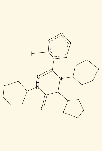 O=C(NC1CCCCC1)C(C1CCCC1)N(C(=O)c1ccccc1I)C1CCCCC1